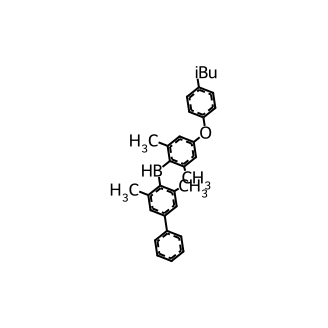 CCC(C)c1ccc(Oc2cc(C)c(Bc3c(C)cc(-c4ccccc4)cc3C)c(C)c2)cc1